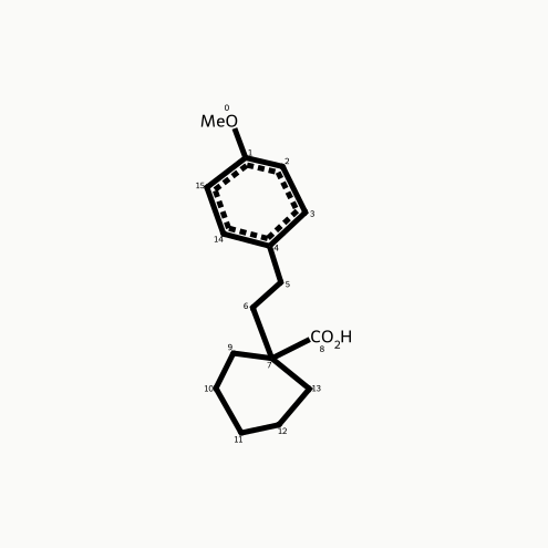 COc1ccc(CCC2(C(=O)O)CCCCC2)cc1